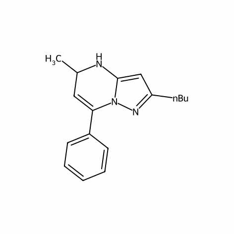 CCCCc1cc2n(n1)C(c1ccccc1)=CC(C)N2